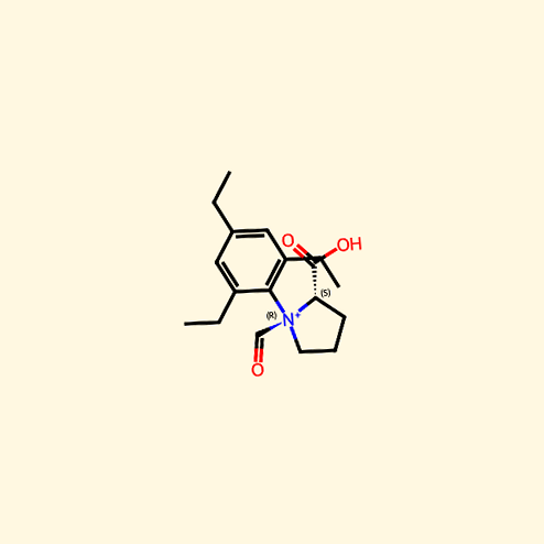 CCc1cc(CC)c([N@@+]2(C=O)CCC[C@H]2C(=O)O)c(CC)c1